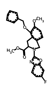 COC(=O)C1Cc2c(ccc(OC)c2OCc2ccccc2)CN1c1nc2ccc(F)cc2o1